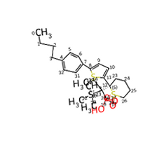 CCCCc1ccc(-c2ccc([C@@]3(C(CC)(C(=O)O)[Si](C)(C)C)CCCCS3(=O)=O)s2)cc1